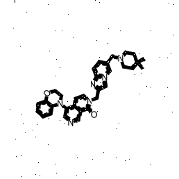 CC1(C)CCN(Cc2ccc3nc(Cn4ccc5c(N6CCOc7ccccc76)cncc5c4=O)cn3c2)CC1